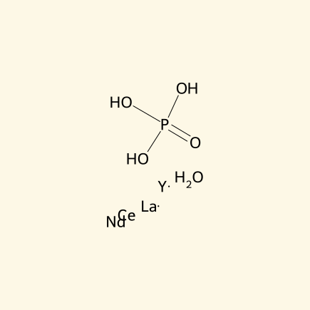 O.O=P(O)(O)O.[Ce].[La].[Nd].[Y]